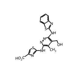 Cc1c(Nc2nc(C(=O)O)cs2)nnc(Nc2nc3ccccc3s2)c1CO